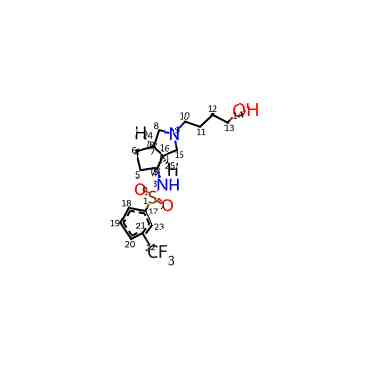 O=S(=O)(N[C@H]1CC[C@H]2CN(CCCCO)C[C@H]21)c1cccc(C(F)(F)F)c1